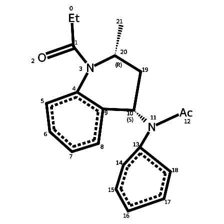 CCC(=O)N1c2ccccc2[C@@H](N(C(C)=O)c2ccccc2)C[C@H]1C